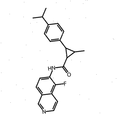 CC(C)c1ccc(C2C(C)C2C(=O)Nc2ccc3cnccc3c2F)cc1